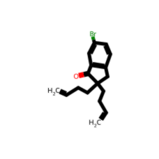 C=CCCC1(CCC=C)Cc2ccc(Br)cc2C1=O